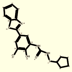 O=C(NSC1CCCC1)Nc1cc(-c2nc3ccccc3s2)cc(Cl)c1O